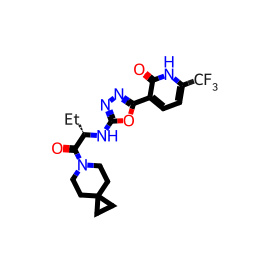 CC[C@H](Nc1nnc(-c2ccc(C(F)(F)F)[nH]c2=O)o1)C(=O)N1CCC2(CC1)CC2